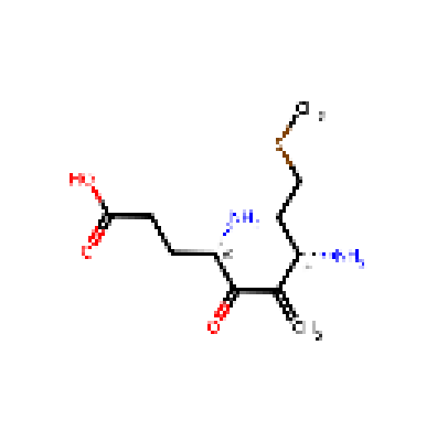 C=C(C(=O)[C@@H](N)CCC(=O)O)[C@@H](N)CCSC